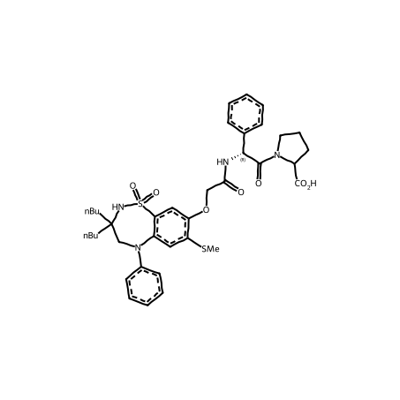 CCCCC1(CCCC)CN(c2ccccc2)c2cc(SC)c(OCC(=O)N[C@@H](C(=O)N3CCCC3C(=O)O)c3ccccc3)cc2S(=O)(=O)N1